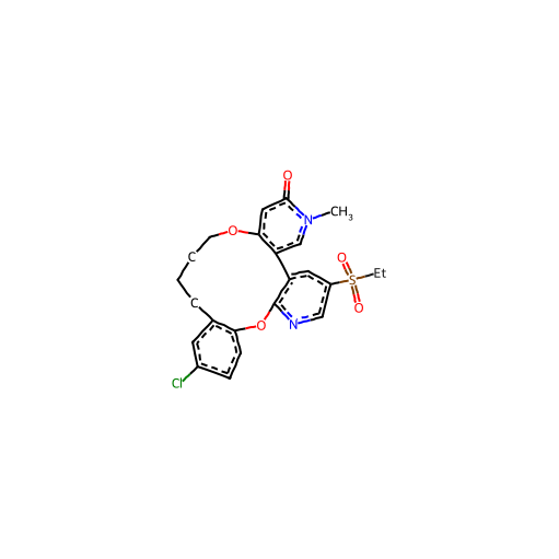 CCS(=O)(=O)c1cnc2c(c1)-c1cn(C)c(=O)cc1OCCCCc1cc(Cl)ccc1O2